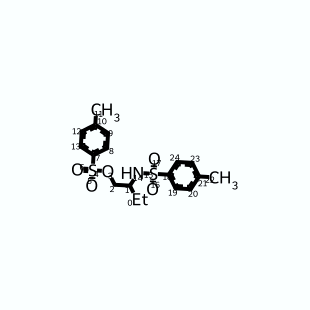 CCC(COS(=O)(=O)c1ccc(C)cc1)NS(=O)(=O)c1ccc(C)cc1